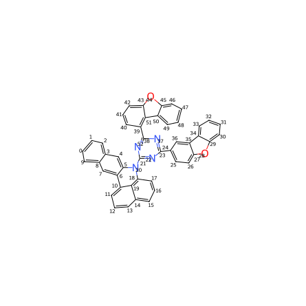 c1ccc2cc3c(cc2c1)-c1cccc2cccc(c12)N3c1nc(-c2ccc3oc4ccccc4c3c2)nc(-c2cccc3oc4ccccc4c23)n1